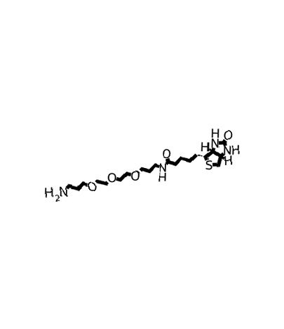 NCCCOCCOCCOCCCNC(=O)CCCC[C@H]1SC[C@H]2NC(=O)N[C@H]21